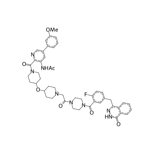 COc1cccc(-c2cnc(C(=O)N3CCC(OC4CCN(CC(=O)N5CCN(C(=O)c6cc(Cc7n[nH]c(=O)c8ccccc78)ccc6F)CC5)CC4)CC3)c(NC(C)=O)c2)c1